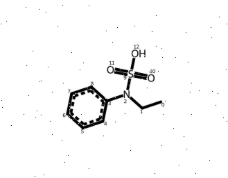 CCN(c1ccccc1)S(=O)(=O)O